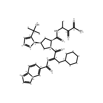 CC(NC(=O)[C@@H]1C[C@H](n2nncc2C(C)(C)O)CN1C(=O)/C(CC1CCCCC1)=N/C(=O)c1ccc2nccn2c1)C(=O)C(N)=O